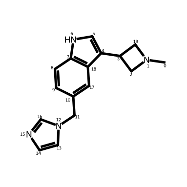 CN1CC(c2c[nH]c3ccc(Cn4ccnc4)cc23)C1